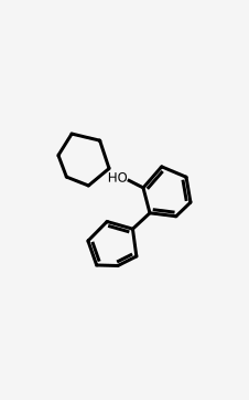 C1CCCCC1.Oc1ccccc1-c1ccccc1